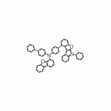 c1ccc(-c2ccc(N(c3ccc(-c4cccc5oc6c(c7ccccc7n6-c6ccccc6)c45)cc3)c3cccc4c3oc3ccccc34)cc2)cc1